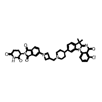 CC1(C)c2ccc(C3CCN(CC4CN(c5ccc6c(c5)C(=O)N(C5CCC(=O)NC5=O)C6=O)C4)CC3)cc2-n2c1nc(=O)c1c(Cl)cccc12